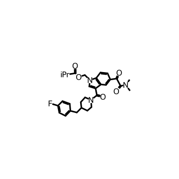 CC(C)C(=O)OCn1cc(C(=O)N2CCC(Cc3ccc(F)cc3)CC2)c2cc(C(=O)C(=O)N(C)C)ccc21